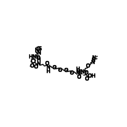 COc1ccc(NC(=O)c2cn3ccsc3n2)cc1C(=O)NCCCC(=O)NCCOCCOCCOCCOCCNC(=O)[C@@H](CCC(=O)O)NC(=O)CCOCCN=[N+]=[N-]